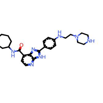 O=C(NC1CCCCCC1)c1ccnc2[nH]c(-c3ccc(NCCN4CCNCC4)cc3)nc12